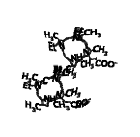 CCC1=C(C)c2cc3[nH]c(cc4nc(c(C)c5cc(C)c(cc1n2)[nH]5)C(CCC(=O)[O-])C4C)c(C)c3CC.CCC1=C(C)c2cc3[nH]c(cc4nc(c(C)c5cc(C)c(cc1n2)[nH]5)C(CCC(=O)[O-])C4C)c(C)c3CC.[Zn+2]